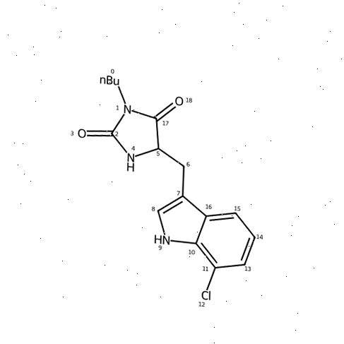 CCCCN1C(=O)NC(Cc2c[nH]c3c(Cl)cccc23)C1=O